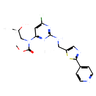 C[C@H](Nc1nc(Cl)cc(N2C(=O)OC[C@@H]2[C@@H](C)O)n1)c1cnc(-c2ccncc2)s1